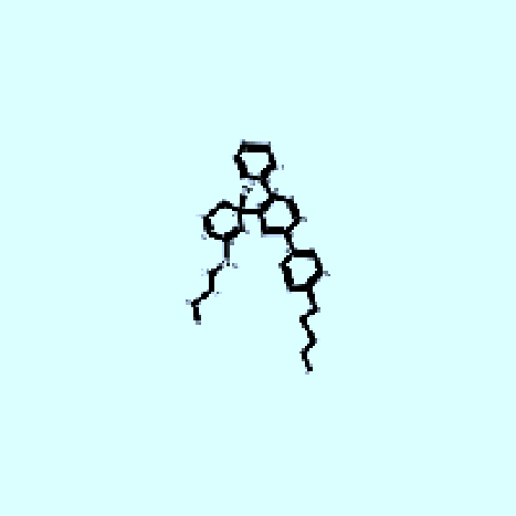 CCCCCc1ccc(-c2ccc(-c3ccccc3)c(C3(Br)C=C(OCCCC)C=CC3)c2)cc1